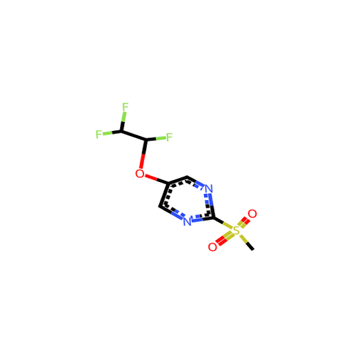 CS(=O)(=O)c1ncc(OC(F)C(F)F)cn1